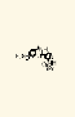 CC(C)C(=O)Nc1cc(C(=O)NC(C)c2ccc(OC(F)(F)F)cc2)ccn1